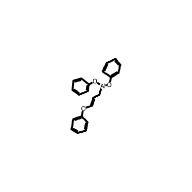 C(=COc1ccccc1)[CH2][Al]([O]c1ccccc1)[O]c1ccccc1